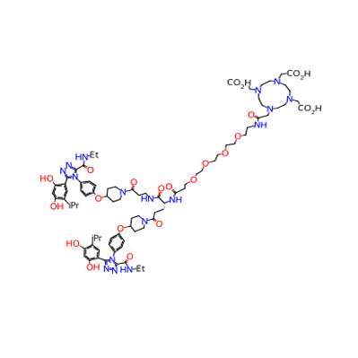 CCNC(=O)c1nnc(-c2cc(C(C)C)c(O)cc2O)n1-c1ccc(OC2CCN(C(=O)CCNC(=O)[C@@H](CCC(=O)N3CCC(Oc4ccc(-n5c(C(=O)NCC)nnc5-c5cc(C(C)C)c(O)cc5O)cc4)CC3)NC(=O)CCOCCOCCOCCOCCNC(=O)CN3CCN(CC(=O)O)CCN(CC(=O)O)CCN(CC(=O)O)CC3)CC2)cc1